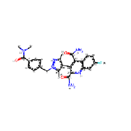 Cc1nn(Cc2ccc(C(=O)N(C)C)cc2)c(C)c1-c1c(C(N)=O)nc2cc(F)ccc2c1C(N)=O